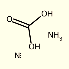 N.O=C(O)O.[N]